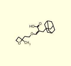 CC1(CCOC=C(CC23CC4CC(CC(C4)C2)C3)C(=O)O)CCO1